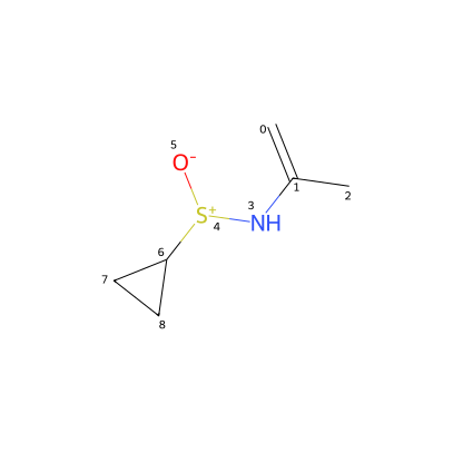 C=C(C)N[S+]([O-])C1CC1